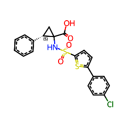 O=C(O)C1(NS(=O)(=O)c2ccc(-c3ccc(Cl)cc3)s2)C[C@H]1c1ccccc1